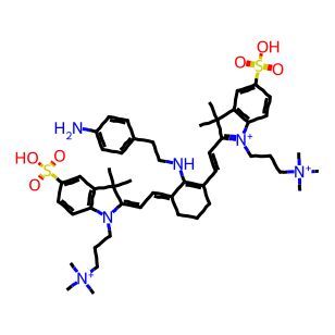 CC1(C)C(/C=C/C2=C(NCCc3ccc(N)cc3)C(=C/C=C3/N(CCC[N+](C)(C)C)c4ccc(S(=O)(=O)O)cc4C3(C)C)/CCC2)=[N+](CCC[N+](C)(C)C)c2ccc(S(=O)(=O)O)cc21